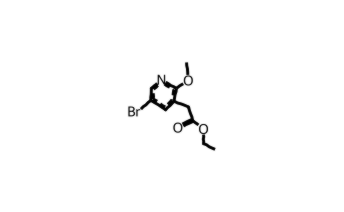 CCOC(=O)Cc1cc(Br)cnc1OC